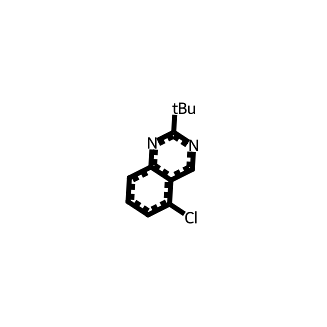 CC(C)(C)c1ncc2c(Cl)cccc2n1